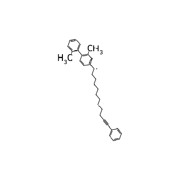 Cc1ccccc1-c1ccc([CH]CCCCCCCCCC#Cc2ccccc2)cc1C